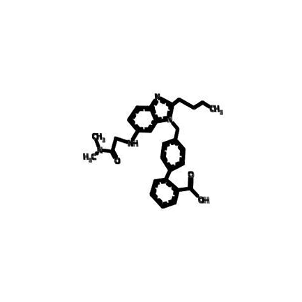 CCCCc1nc2ccc(NCC(=O)N(C)C)cc2n1Cc1ccc(-c2ccccc2C(=O)O)cc1